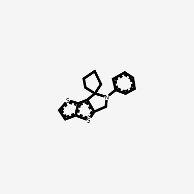 c1ccc(N2Cc3sc4ccsc4c3C23CCCC3)cc1